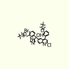 Cn1cncc1C(O)(c1ccc(Br)c(CO[Si](C)(C)C(C)(C)C)c1)c1ccc2nc(Cl)cc(-c3cccc(O[Si](C)(C)C(C)(C)C)c3)c2c1